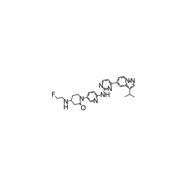 CC(C)c1cnn2ccc(-c3ccnc(Nc4ccc(N5CCC(NCCF)CC5=O)cn4)n3)cc12